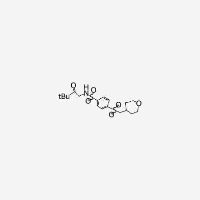 CC(C)(C)C(=O)CNS(=O)(=O)c1ccc(S(=O)(=O)CC2CCOCC2)cc1